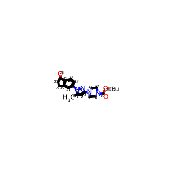 Cc1cc(N2CCN(C(=O)OC(C)(C)C)CC2)nn1-c1ccc2c(c1)CCC2=O